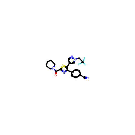 N#Cc1ccc(-c2nc(C(=O)N3CCCCC3)sc2-c2cnn(CC(F)(F)F)c2)cc1